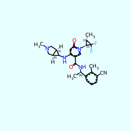 Cc1c(C#N)cccc1[C@@H](C)NC(=O)c1cn([C@H]2[C@H](C)C2(F)F)c(=O)cc1NC1[C@H]2CN(C)C[C@@H]12